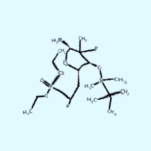 B[C@@H]1O[C@H](CC(F)P(=O)(OCC)OCC)[C@H](O[Si](C)(C)C(C)(C)C)C1(C)F